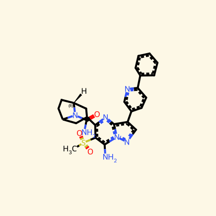 CS(=O)(=O)c1c(C2CC3CC[C@H](C2)N3C(N)=O)nc2c(-c3ccc(-c4ccccc4)nc3)cnn2c1N